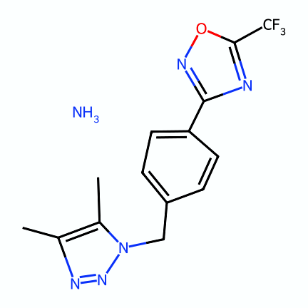 Cc1nnn(Cc2ccc(-c3noc(C(F)(F)F)n3)cc2)c1C.N